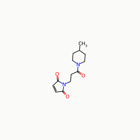 CC1CCN(C(=O)CCN2C(=O)C=CC2=O)CC1